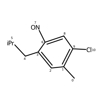 Cc1cc(CC(C)C)c(N=O)cc1Cl